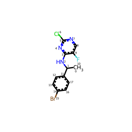 CC(Nc1nc(Cl)ncc1F)c1ccc(Br)cc1